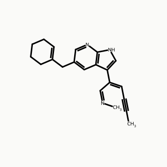 CC#C/C=C(\C=N/C)c1c[nH]c2ncc(CC3=CCCCC3)cc12